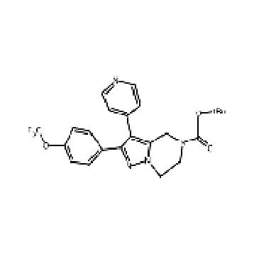 CC(C)(C)OC(=O)N1CCn2nc(-c3ccc(OC(F)(F)F)cc3)c(-c3ccncc3)c2C1